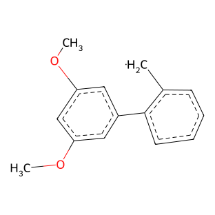 [CH2]c1ccccc1-c1cc(OC)cc(OC)c1